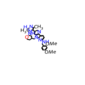 COc1ccc(CNc2ccc3c4ncc(/C(=C(\C)N)N(C)N)cc4n(CC4CCOCC4)c3n2)c(OC)c1